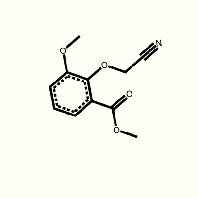 COC(=O)c1cccc(OC)c1OCC#N